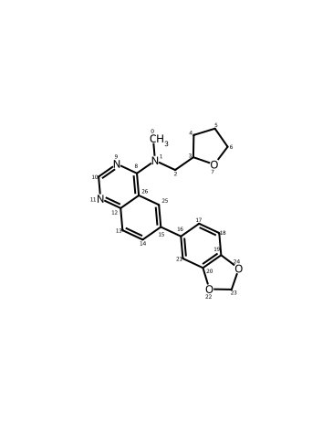 CN(CC1CCCO1)c1ncnc2ccc(-c3ccc4c(c3)OCO4)cc12